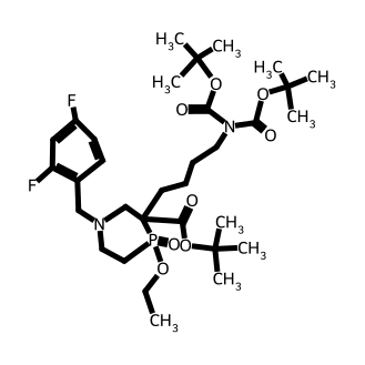 CCOP1(=O)CCN(Cc2ccc(F)cc2F)CC1(CCCCN(C(=O)OC(C)(C)C)C(=O)OC(C)(C)C)C(=O)OC(C)(C)C